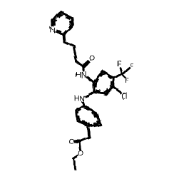 CCOC(=O)Cc1ccc(Nc2cc(Cl)c(C(F)(F)F)cc2NC(=O)CCCc2ccccn2)cc1